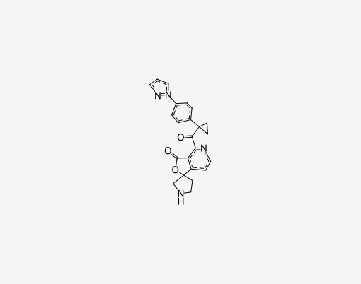 O=C1OC2(CCNC2)c2ccnc(C(=O)C3(c4ccc(-n5cccn5)cc4)CC3)c21